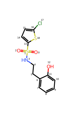 O=S(=O)(NCCc1ccccc1O)c1ccc(Cl)s1